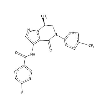 C[C@H]1CN(c2ccc(C(F)(F)F)cc2)C(=O)c2c(NC(=O)c3ccc(F)cc3)cnn21